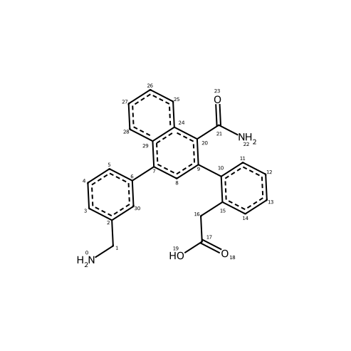 NCc1cccc(-c2cc(-c3ccccc3CC(=O)O)c(C(N)=O)c3ccccc23)c1